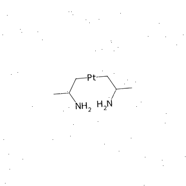 CC(N)[CH2][Pt][CH2]C(C)N